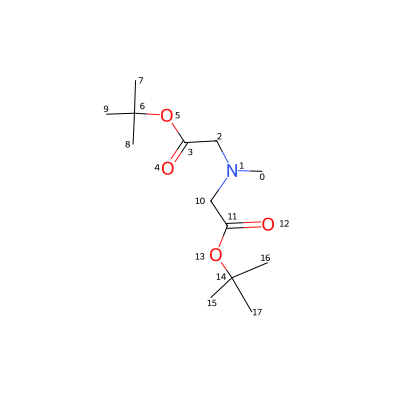 CN(CC(=O)OC(C)(C)C)CC(=O)OC(C)(C)C